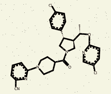 C[C@H](Oc1ccc(Cl)cn1)[C@H]1CN(C(=O)C2CCN(c3cccc(C#N)n3)CC2)C[C@@H]1c1ccc(Cl)cc1